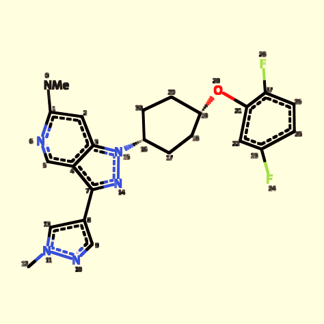 CNc1cc2c(cn1)c(-c1cnn(C)c1)nn2[C@H]1CC[C@@H](Oc2cc(F)ccc2F)CC1